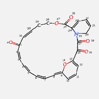 O=C1C=CC=CC=CC=C2C=CC=C(O2)C(=O)C(=O)N2CC=CC=C2C(=O)OCCC=C1